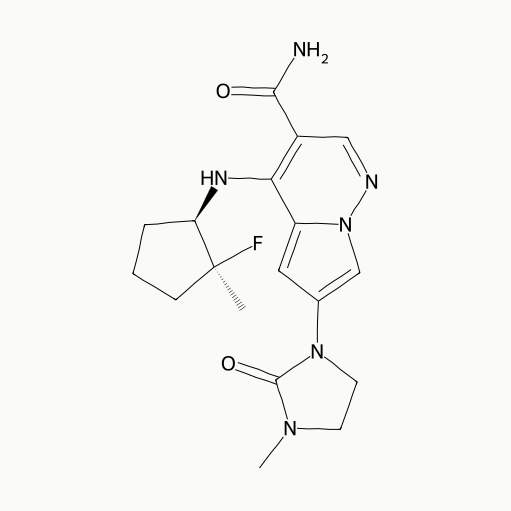 CN1CCN(c2cc3c(N[C@@H]4CCC[C@]4(C)F)c(C(N)=O)cnn3c2)C1=O